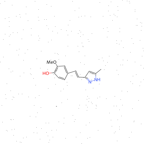 COc1cc(C=Cc2cc(C)[nH]n2)ccc1O